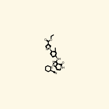 CCOC(=O)c1cnn(-c2ccc(Nc3nn([C@H]4CCCCC4C#N)c4cc[nH]c(=O)c34)cc2C)c1